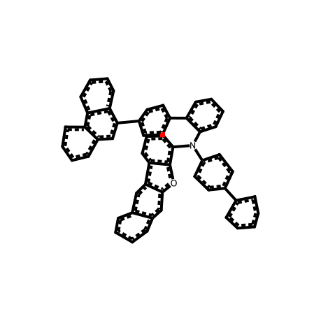 c1ccc(-c2ccc(N(c3ccccc3-c3ccc(-c4cc5ccccc5c5ccccc45)cc3)c3cccc4c3oc3cc5ccccc5cc34)cc2)cc1